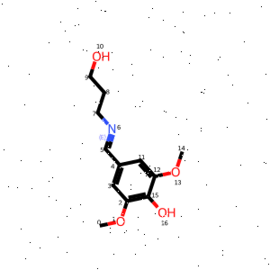 COc1cc(/C=N/CCCO)cc(OC)c1O